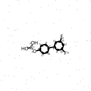 OB(O)Oc1ccc(-c2cc(F)cc(F)c2)cc1